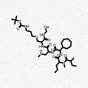 CCCC(C(=O)NC(C(=O)NC(CNC)C(=O)NC(COCCCNC(=O)OC(C)(C)C)C(=O)NCO)C1CCCCCC1)N(C)C(=O)C(C)CC